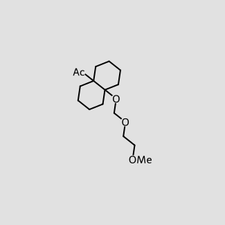 COCCOCOC12CCCCC1(C(C)=O)CCCC2